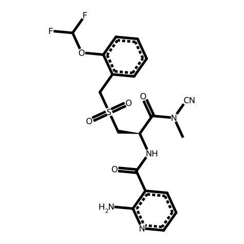 CN(C#N)C(=O)[C@H](CS(=O)(=O)Cc1ccccc1OC(F)F)NC(=O)c1cccnc1N